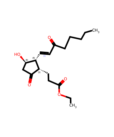 CCCCCC(=O)/C=C/[C@H]1[C@H](O)CC(=O)[C@H]1CCC(=O)OCC